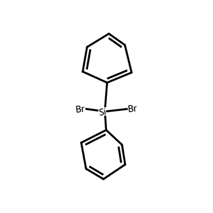 Br[Si](Br)(c1ccccc1)c1ccccc1